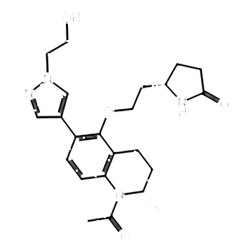 CC(=O)N1c2ccc(-c3cnn(CCO)c3)c(OCC[C@H]3CCC(=O)N3)c2CC[C@@H]1C